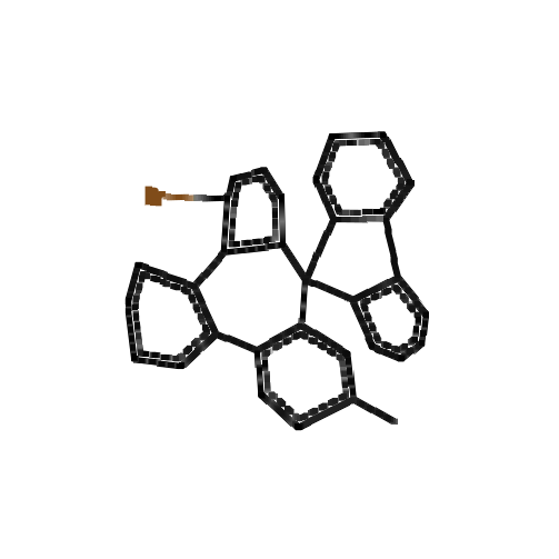 Cc1ccc2c(c1)C1(c3ccccc3-c3ccccc31)c1cccc(Br)c1-c1ccccc1-2